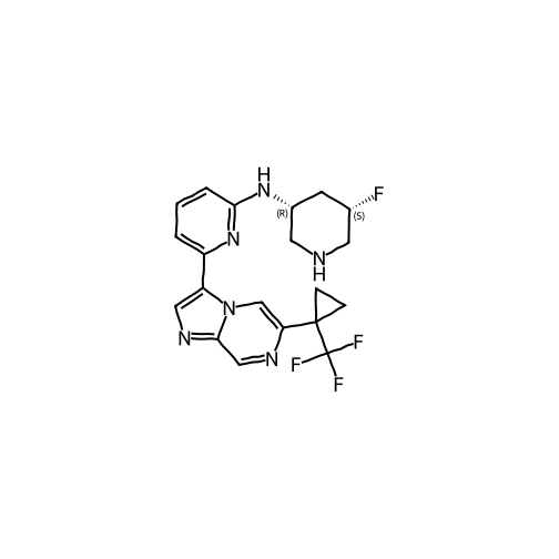 F[C@@H]1CNC[C@H](Nc2cccc(-c3cnc4cnc(C5(C(F)(F)F)CC5)cn34)n2)C1